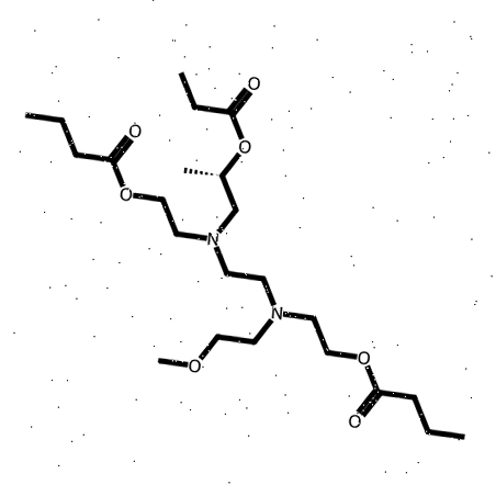 CCCC(=O)OCCN(CCOC)CCN(CCOC(=O)CCC)C[C@H](C)OC(=O)CC